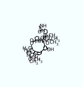 CCn1c(-c2cccnc2[C@H](C)OC)c2c3cc(ccc31)-c1cc(O)cc(c1)C[C@H](NC(=O)[C@H](C(C)C)N(C)C(=O)[C@H]1CCCN(C(=O)[C@H]3CN3)C1)C(=O)N1CCC[C@H](N1)C(=O)OCC(C)(C)C2